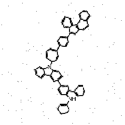 C1=CC(n2c3ccccc3c3cc(-c4ccc(NC5=CCCCC5)c(-c5ccccc5)c4)ccc32)C=CC(c2ccc(-c3cc4ccc5ccccc5c4c4ccccc34)cc2)=C1